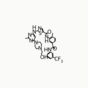 Cc1nc(Nc2ncc(C(=O)Nc3cc(C(=O)Nc4cccc(C(F)(F)F)c4)ccc3C)s2)cc(N2CCN(CCO)CC2)n1